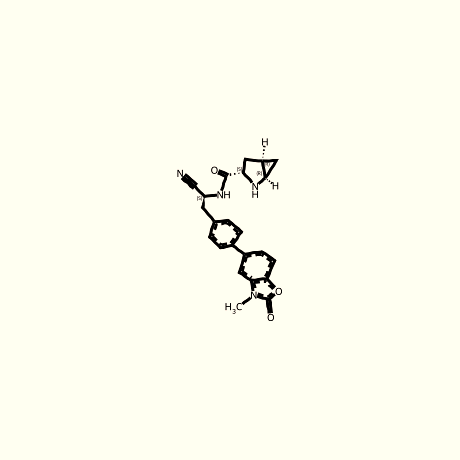 Cn1c(=O)oc2ccc(-c3ccc(C[C@@H](C#N)NC(=O)[C@@H]4C[C@H]5C[C@H]5N4)cc3)cc21